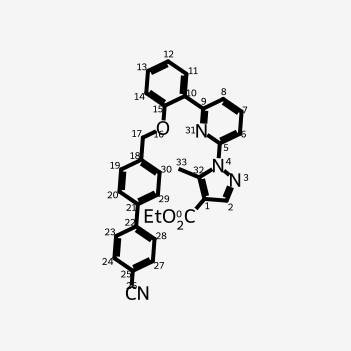 CCOC(=O)c1cnn(-c2cccc(-c3ccccc3OCc3ccc(-c4ccc(C#N)cc4)cc3)n2)c1C